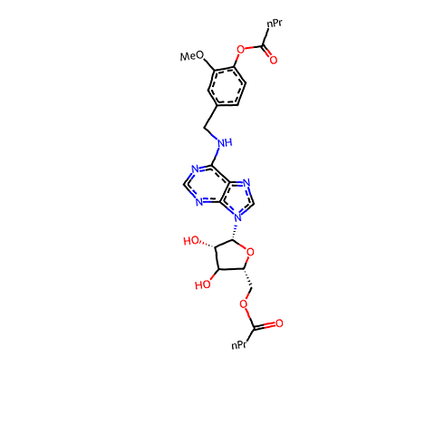 CCCC(=O)OC[C@H]1O[C@@H](n2cnc3c(NCc4ccc(OC(=O)CCC)c(OC)c4)ncnc32)[C@@H](O)C1O